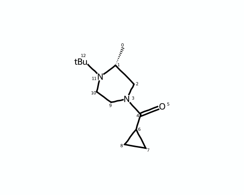 C[C@@H]1CN(C(=O)C2CC2)CCN1C(C)(C)C